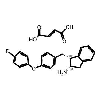 N[C@H]1Cc2ccccc2[C@H]1Cc1ccc(Oc2ccc(F)cc2)cc1.O=C(O)C=CC(=O)O